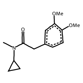 COc1ccc(CC(=O)N(C)C2CC2)cc1OC